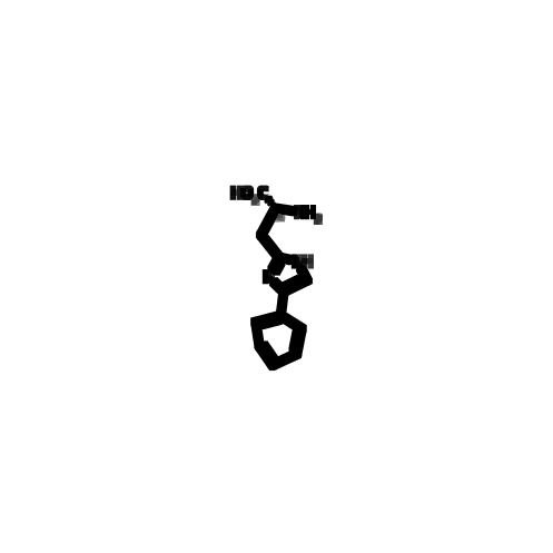 N[C@H](Cc1nc(-c2ccccc2)c[nH]1)C(=O)O